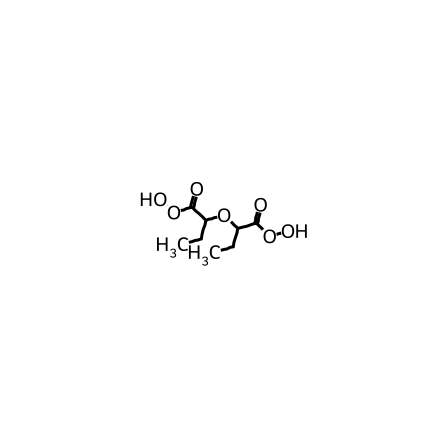 CCC(OC(CC)C(=O)OO)C(=O)OO